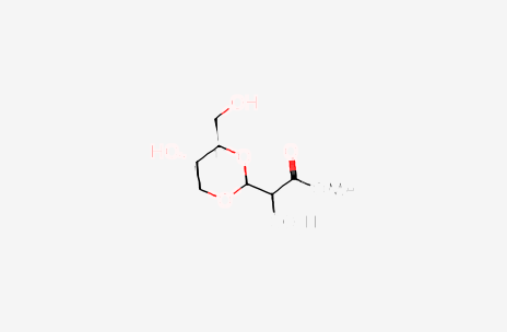 COC(=O)C(C(=O)O)C1OC[C@H](O)[C@@H](CO)O1